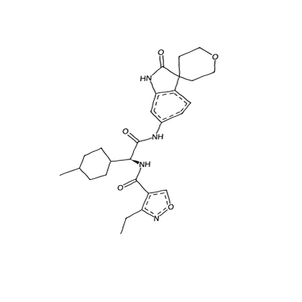 CCc1nocc1C(=O)N[C@H](C(=O)Nc1ccc2c(c1)NC(=O)C21CCOCC1)C1CCC(C)CC1